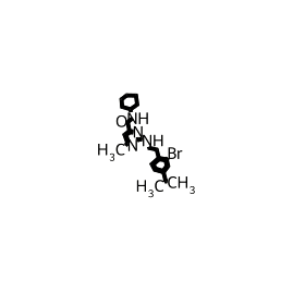 Cc1cc(C(=O)NC2CCCCC2)nc(NCCc2ccc(C(C)C)cc2Br)n1